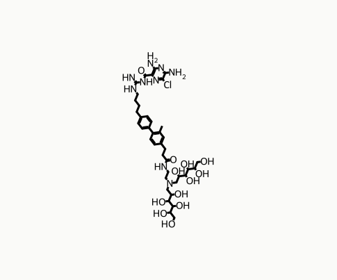 Cc1cc(CCC(=O)NCCN(CC(O)C(O)C(O)C(O)CO)CC(O)C(O)C(O)C(O)CO)ccc1-c1ccc(CCCCNC(=N)NC(=O)c2nc(Cl)c(N)nc2N)cc1